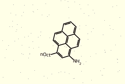 CCCCCCCCc1cc(N)c2ccc3cccc4ccc1c2c34